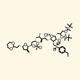 C=C([C@H](C)C[C@@H](CC[C@@H]1O[C@@H](CCC2OCCCO2)CC1=C)OS(C)(=O)=O)[C@H](O)C[C@@H]1O[C@H](CC(CO[Si](C)(C)C(C)(C)C)O[Si](C)(C)C(C)(C)C)[C@H](OC)[C@H]1CS(=O)(=O)c1ccc(CC)cc1